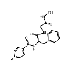 Cc1ccc(C(=O)NC(Cc2ccccc2)C(=O)NCC(=O)NO)cc1